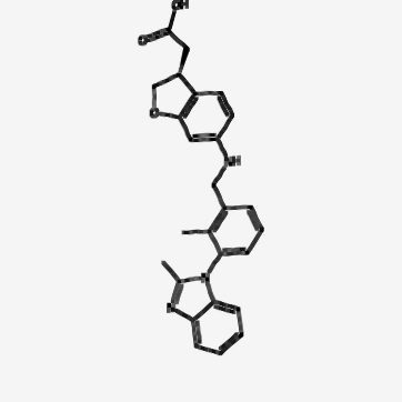 Cc1c(CNc2ccc3c(c2)OC[C@H]3CC(=O)O)cccc1-n1c(C)nc2ccccc21